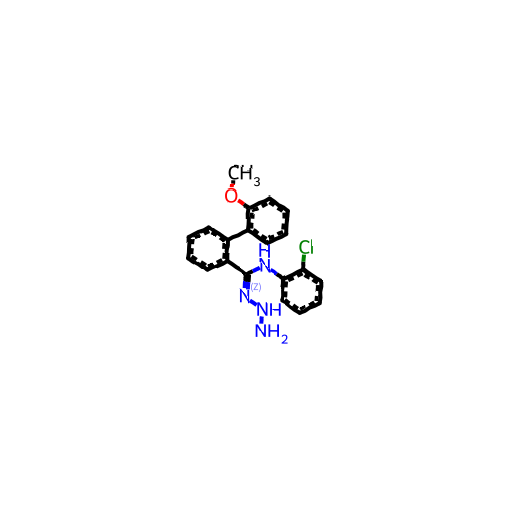 COc1ccccc1-c1ccccc1/C(=N/NN)Nc1ccccc1Cl